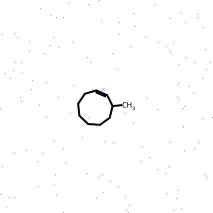 CC1/C=C\CCCCCC1